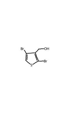 OCc1c(Br)csc1Br